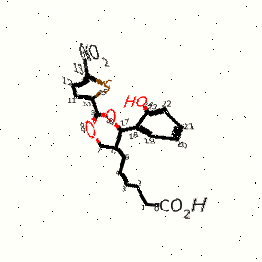 O=C(O)CC/C=C\CC1COC(c2ccc([N+](=O)[O-])s2)OC1c1ccccc1O